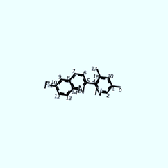 Cc1cnc(-c2ccc3cc(F)ccc3n2)c(C)c1